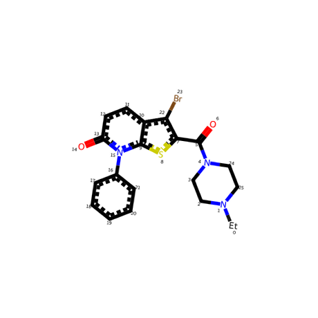 CCN1CCN(C(=O)c2sc3c(ccc(=O)n3-c3ccccc3)c2Br)CC1